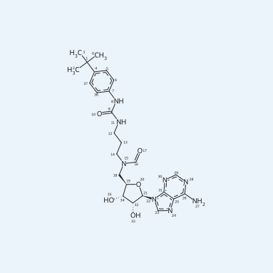 CC(C)(C)c1ccc(NC(=O)NCCCN(C=O)C[C@H]2O[C@@H](n3cnc4c(N)ncnc43)[C@H](O)[C@@H]2O)cc1